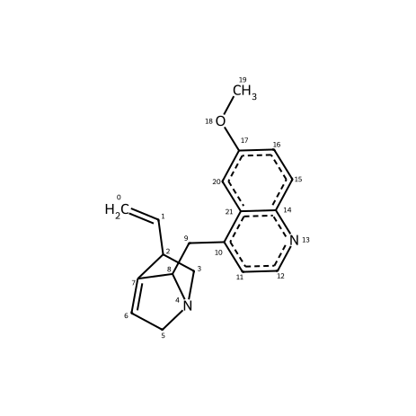 C=CC1CN2CC=C1C2Cc1ccnc2ccc(OC)cc12